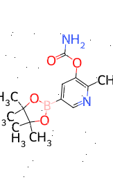 Cc1ncc(B2OC(C)(C)C(C)(C)O2)cc1OC(N)=O